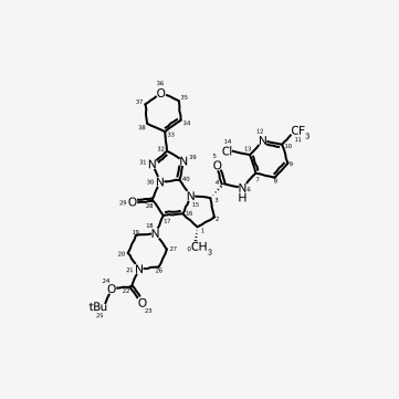 C[C@H]1C[C@@H](C(=O)Nc2ccc(C(F)(F)F)nc2Cl)n2c1c(N1CCN(C(=O)OC(C)(C)C)CC1)c(=O)n1nc(C3=CCOCC3)nc21